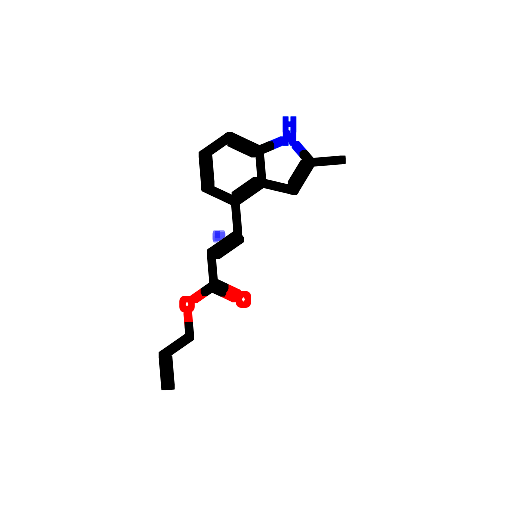 C=CCOC(=O)/C=C/c1cccc2[nH]c(C)cc12